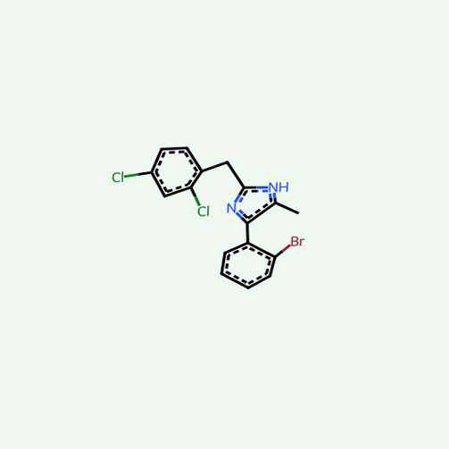 Cc1[nH]c(Cc2ccc(Cl)cc2Cl)nc1-c1ccccc1Br